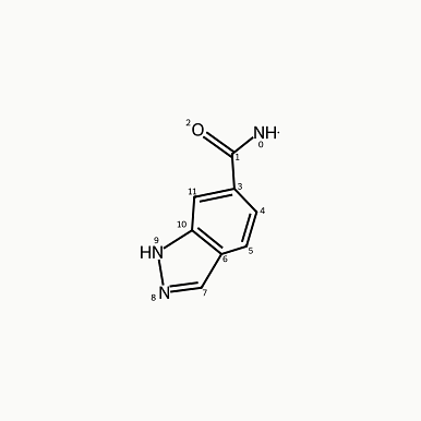 [NH]C(=O)c1ccc2cn[nH]c2c1